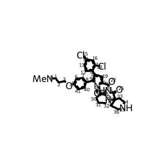 CNCCCOc1ccc(-c2c(-c3ccc(Cl)cc3Cl)cc(C(=O)NC(=O)C3(N4CCCCC4)CCNCC3)n2C)cc1